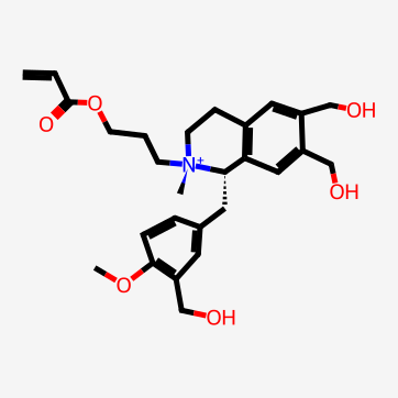 C=CC(=O)OCCC[N@+]1(C)CCc2cc(CO)c(CO)cc2[C@@H]1Cc1ccc(OC)c(CO)c1